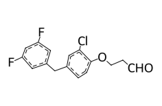 O=CCCOc1ccc(Cc2cc(F)cc(F)c2)cc1Cl